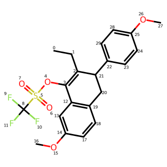 CCC1=C(OS(=O)(=O)C(F)(F)F)c2cc(OC)ccc2CC1c1ccc(OC)cc1